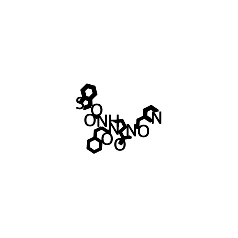 O=C(NC(CC1CCCCC1)C(=O)N1CCC2C1C(=O)CN2C(=O)Cc1cccnc1)Oc1csc2ccccc12